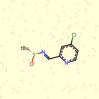 CC(C)(C)[S@@+]([O-])/N=C/c1cc(Cl)ccn1